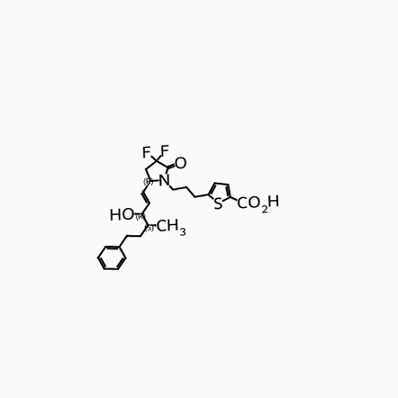 C[C@@H](CCc1ccccc1)[C@@H](O)C=C[C@H]1CC(F)(F)C(=O)N1CCCc1ccc(C(=O)O)s1